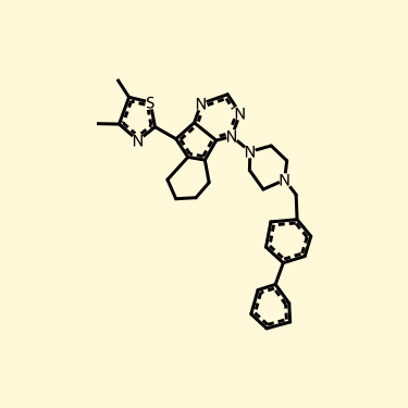 Cc1nc(-c2c3ncnn(N4CCN(Cc5ccc(-c6ccccc6)cc5)CC4)c-3c3c2CCCC3)sc1C